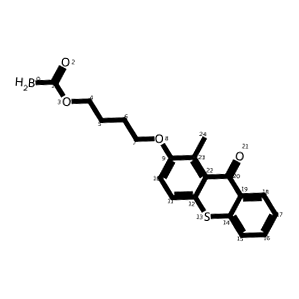 BC(=O)OCCCCOc1ccc2sc3ccccc3c(=O)c2c1C